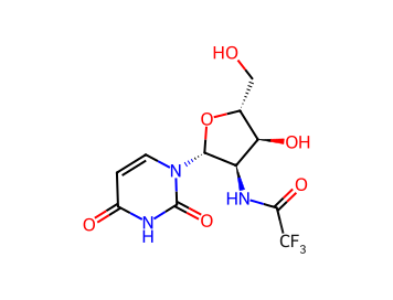 O=C(N[C@@H]1[C@H](O)[C@@H](CO)O[C@H]1n1ccc(=O)[nH]c1=O)C(F)(F)F